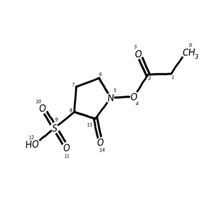 CCC(=O)ON1CCC(S(=O)(=O)O)C1=O